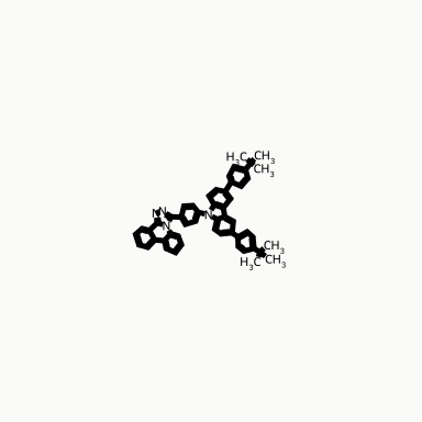 CC(C)(C)c1ccc(-c2ccc3c(c2)c2cc(-c4ccc(C(C)(C)C)cc4)ccc2n3-c2ccc(-c3nnc4c5ccccc5c5ccccc5n34)cc2)cc1